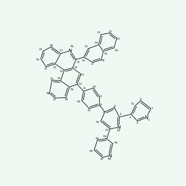 c1cncc(-c2cc(-c3ccc(-c4cc5c(-c6ccc7ccccc7c6)nc6ccccc6c5c5ccccc45)cc3)cc(-c3cccnc3)n2)c1